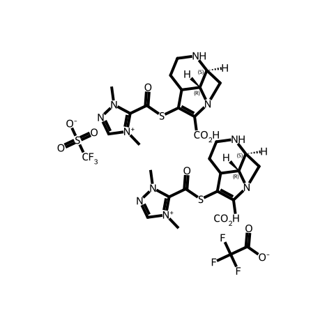 Cn1nc[n+](C)c1C(=O)SC1=C(C(=O)O)N2C[C@@H]3NCCC1[C@H]32.Cn1nc[n+](C)c1C(=O)SC1=C(C(=O)O)N2C[C@@H]3NCCC1[C@H]32.O=C([O-])C(F)(F)F.O=S(=O)([O-])C(F)(F)F